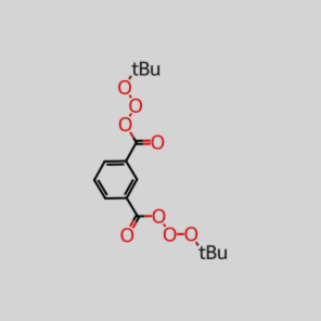 CC(C)(C)OOOC(=O)c1cccc(C(=O)OOOC(C)(C)C)c1